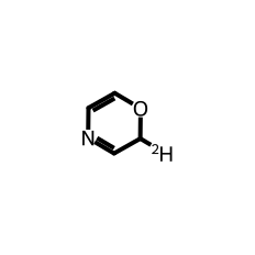 [2H]C1C=NC=CO1